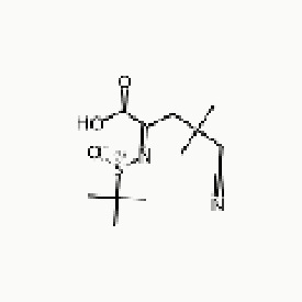 CC(C)(CC#N)CC(=N[S@@+]([O-])C(C)(C)C)C(=O)O